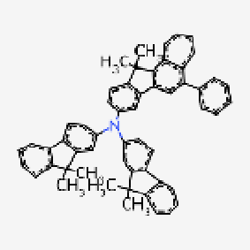 CC1(C)c2ccccc2-c2ccc(N(c3ccc4c(c3)-c3cc(-c5ccccc5)c5ccccc5c3C4(C)C)c3ccc4c(c3)C(C)(C)c3ccccc3-4)cc21